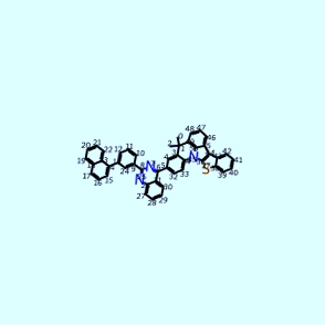 CC1(C)c2cc(-c3nc(-c4cccc(-c5cccc6ccccc56)c4)nc4ccccc34)ccc2-n2c3sc4ccccc4c3c3cccc1c32